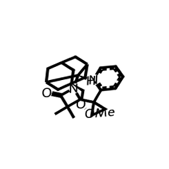 COOC[C@]12CC3CC(C1)[C@@H](N1C(=O)C(C)(C)C1C1(c4ccccn4)CC1)C(C3)C2